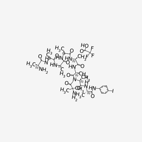 C[C@H](N)C(=O)N[C@@H](C)C(=O)N[C@@H](C)C(=O)N[C@@H](C)C(=O)N[C@@H](C)C(=O)N[C@@H](C)C(=O)N(C(=O)C(C)(C)N)[C@@H](C)C(=O)N[C@@H](C)C(=O)Nc1ccc(I)cc1.O=C(O)C(F)(F)F